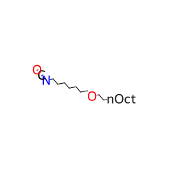 CCCCCCCCCCOCCCCCCCN=C=O